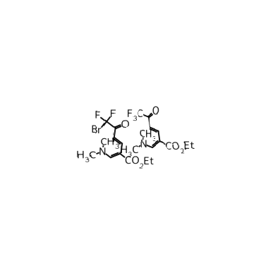 CCOC(=O)C(C=CC(=O)C(F)(F)Br)=CN(C)C.CCOC(=O)C(C=CC(=O)C(F)(F)F)=CN(C)C